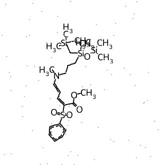 COC(=O)/C(=C\C=C\N(C)CCC[Si](C)(C[Si](C)(C)C)O[Si](C)(C)C)S(=O)(=O)c1ccccc1